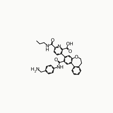 CCCNC(=O)c1ccc(-c2cc3c(cc2C(=O)Nc2ccc(CN)cc2)-c2ccccc2CCO3)c(C(=O)O)n1